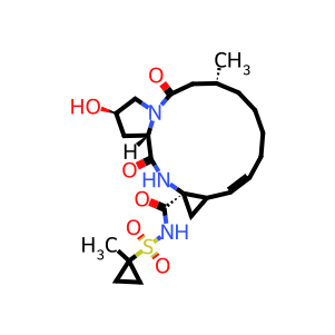 C[C@@H]1CCCC/C=C\C2C[C@@]2(C(=O)NS(=O)(=O)C2(C)CC2)NC(=O)[C@@H]2C[C@@H](O)CN2C(=O)C1